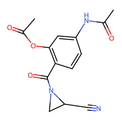 CC(=O)Nc1ccc(C(=O)N2CC2C#N)c(OC(C)=O)c1